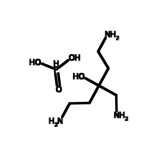 NCCC(O)(CN)CCN.O=[PH](O)O